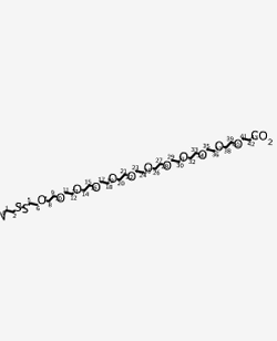 NCCSSCCOCCOCCOCCOCCOCCOCCOCCOCCOCCOCCOCCOCCC(=O)O